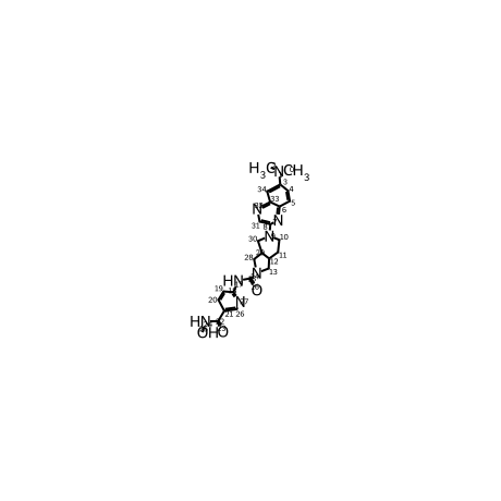 CN(C)c1ccc2nc(N3CCC4CN(C(=O)Nc5ccc(C(=O)NO)cn5)CC4C3)cnc2c1